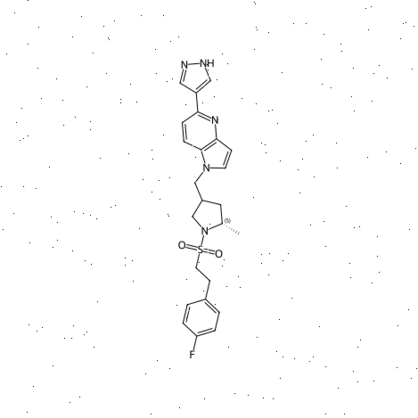 C[C@H]1CC(Cn2ccc3nc(-c4cn[nH]c4)ccc32)CN1S(=O)(=O)CCc1ccc(F)cc1